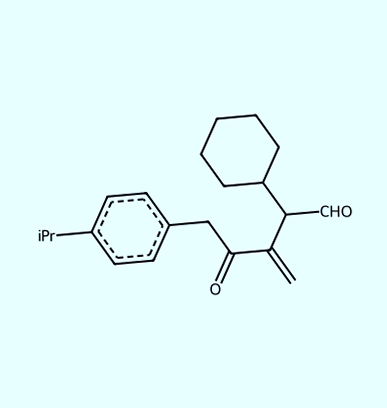 C=C(C(=O)Cc1ccc(C(C)C)cc1)C(C=O)C1CCCCC1